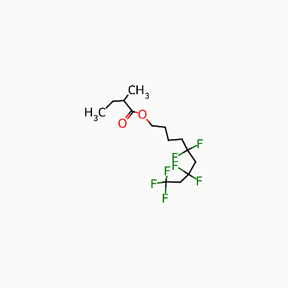 CCC(C)C(=O)OCCCCC(F)(F)CC(F)(F)CC(F)(F)F